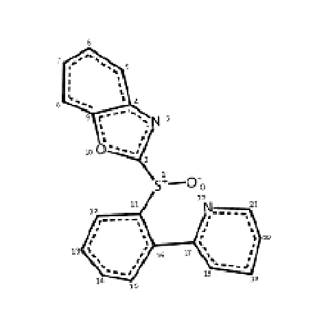 [O-][S+](c1nc2ccccc2o1)c1ccccc1-c1ccccn1